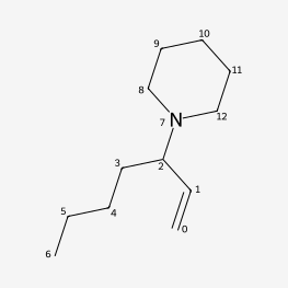 C=CC(CCCC)N1CCCCC1